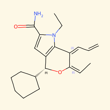 C=C/C=C1\C(=C/C)O[C@H](C2CCCCC2)c2cc(C(N)=O)n(CC)c21